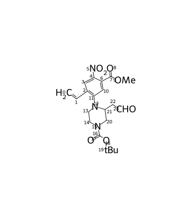 C=Cc1cc([N+](=O)[O-])c(C(=O)OC)cc1N1CCN(C(=O)OC(C)(C)C)CC1CC=O